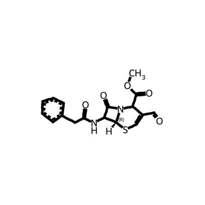 COC(=O)C1C(C=O)=CS[C@@H]2C(NC(=O)Cc3ccccc3)C(=O)N12